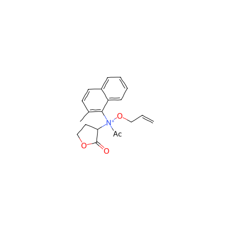 C=CCO[N+](C(C)=O)(c1c(C)ccc2ccccc12)C1CCOC1=O